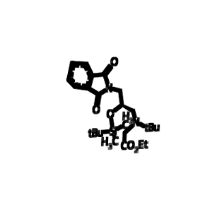 CCOC(=O)CN(C[C@H](CN1C(=O)c2ccccc2C1=O)O[Si](C)(C)C(C)(C)C)C(C)(C)C